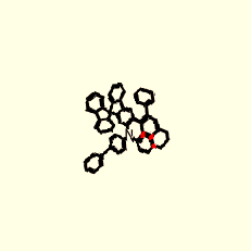 c1ccc(-c2ccc(N(c3ccccc3)c3cc4c(cc3-c3cc5c(cc3-c3ccccc3)CCCC5)-c3ccccc3C43c4ccccc4-c4ccccc43)cc2)cc1